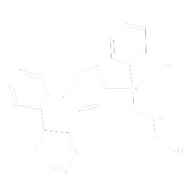 CC[Si](O[SiH2]O[SiH3])(c1ccccc1)c1ccccc1.c1ccc(-c2ccccc2)cc1